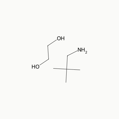 CC(C)(C)CN.OCCO